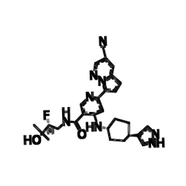 CC(C)(O)[C@H](F)CNC(=O)c1cnc(-c2ccc3cc(C#N)cnn23)cc1N[C@H]1CC[C@H](c2cn[nH]c2)CC1